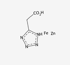 O=C(O)Cc1nnn[nH]1.[Fe].[Zn]